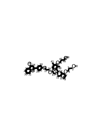 COCCCOc1ccnc(CN(CCOCCOc2ccc(-c3cc(=O)c4ccccc4o3)cc2)Cc2ncc(C)c(OCCCOC)c2C)c1C